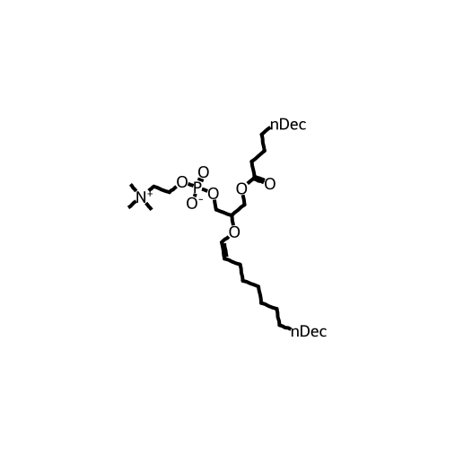 CCCCCCCCCCCCCCCC/C=C\OC(COC(=O)CCCCCCCCCCCCC)COP(=O)([O-])OCC[N+](C)(C)C